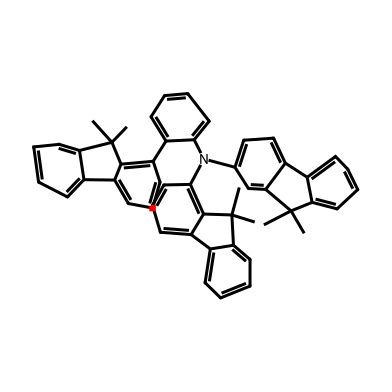 CC1(C)c2ccccc2-c2ccc(N(c3ccccc3-c3cccc4c3C(C)(C)c3ccccc3-4)c3cccc4c3C(C)(C)c3ccccc3-4)cc21